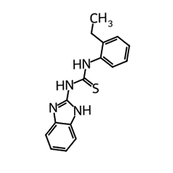 CCc1ccccc1NC(=S)Nc1nc2ccccc2[nH]1